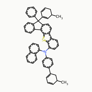 CC1C=C(C2(c3ccccc3)c3ccccc3-c3c2ccc2c3sc3c(N(c4ccc(C5=CC=CC(C)C5)cc4)c4cccc5ccccc45)cccc32)C=CC1